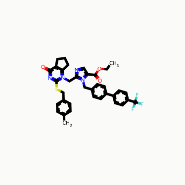 CCOC(=O)c1cnc(Cn2c(SCc3ccc(C)cc3)nc(=O)c3c2CCC3)n1Cc1ccc(-c2ccc(C(F)(F)F)cc2)cc1